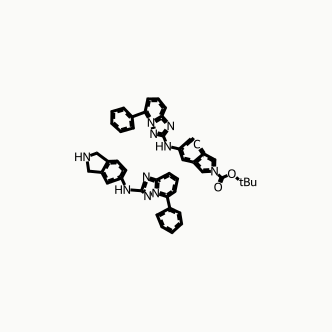 CC(C)(C)OC(=O)n1cc2ccc(Nc3nc4cccc(-c5ccccc5)n4n3)cc2c1.c1ccc(-c2cccc3nc(Nc4ccc5c(c4)CNC5)nn23)cc1